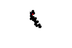 C=Cc1c(/C(=N\C)n2c3ccccc3c3ccccc32)sc2ccc(-n3c4ccccc4c4c(-c5cccc6c5c5ccccc5n6-c5ccc6c(c5)c5ccccc5n6-c5cccc(-c6cccc(-c7cccc8c7sc7ccccc78)c6)c5)cccc43)cc12